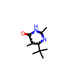 Cc1nc(C(C)(C)C)c(C)c(=O)[nH]1